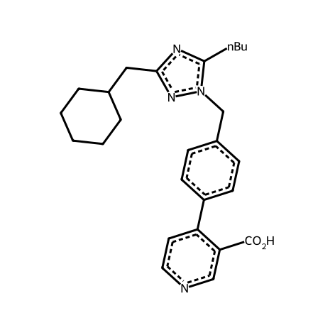 CCCCc1nc(CC2CCCCC2)nn1Cc1ccc(-c2ccncc2C(=O)O)cc1